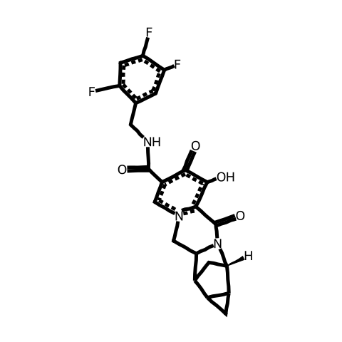 O=C(NCc1cc(F)c(F)cc1F)c1cn2c(c(O)c1=O)C(=O)N1C(C2)C2C[C@H]1C1CC21